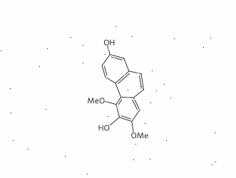 COc1cc2ccc3cc(O)ccc3c2c(OC)c1O